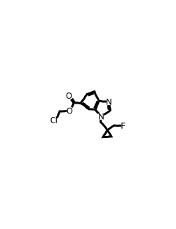 O=C(OCCl)c1ccc2ncn(CC3(CF)CC3)c2c1